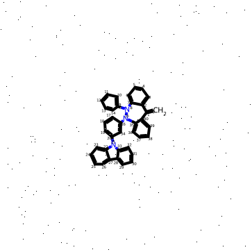 C=C1c2ccccc2N(c2ccccc2)N(c2cccc(-n3c4ccccc4c4ccccc43)c2)c2ccccc21